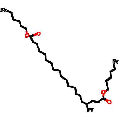 CC(C)CCCCCOC(=O)CCCCCCCCCCCCCCCC(CCC(=O)OCCCCCC(C)C)C(C)C